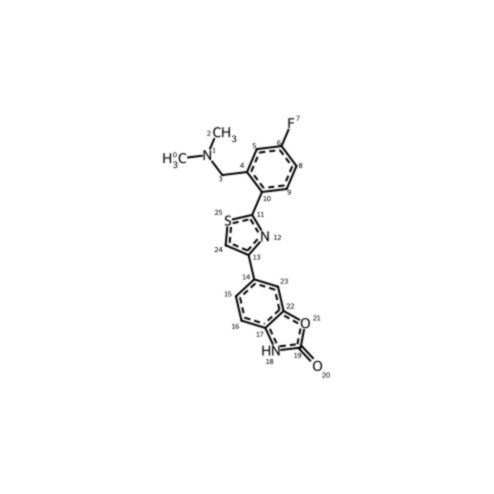 CN(C)Cc1cc(F)ccc1-c1nc(-c2ccc3[nH]c(=O)oc3c2)cs1